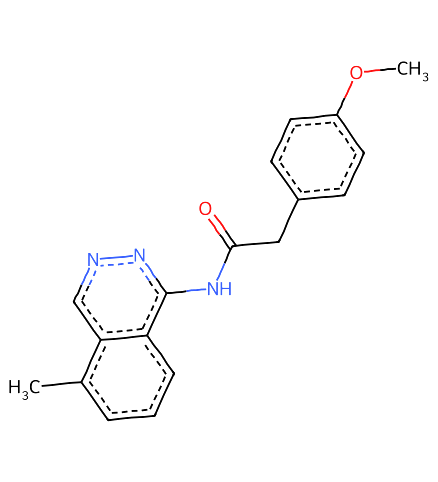 COc1ccc(CC(=O)Nc2nncc3c(C)cccc23)cc1